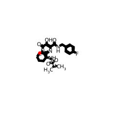 CN(C)S(=O)(=O)NC12CCC(CC1)Cn1c2nc(C(=O)NCc2ccc(F)cc2)c(O)c1=O